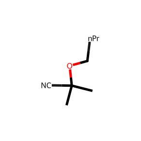 CCCCOC(C)(C)C#N